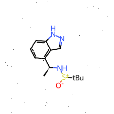 C[C@H](N[S+]([O-])C(C)(C)C)c1cccc2[nH]ncc12